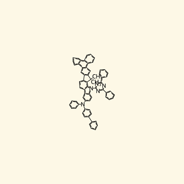 CC1(C)c2cc3c4ccccc4c4ccccc4c3cc2-c2ccc3c4cc(N(c5ccccc5)c5ccc(-c6ccccc6)cc5)ccc4n(-c4nc(-c5ccccc5)nc(-c5ccccc5)n4)c3c21